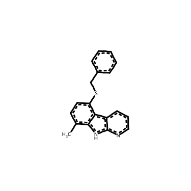 Cc1ccc(SCc2ccccc2)c2c1[nH]c1ncccc12